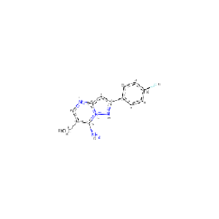 CCOC(=O)c1cnc2cc(-c3ccc(F)cc3)nn2c1N